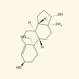 C[C@]12CC[C@H]3[C@@H](CCC4=C[C@H](O)CC[C@@]43CO)[C@@H]1CC[C@@H]2O